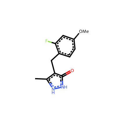 COc1ccc(Cc2c(C)[nH][nH]c2=O)c(F)c1